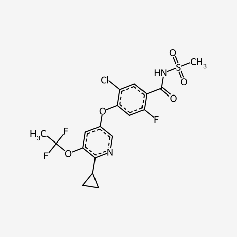 CC(F)(F)Oc1cc(Oc2cc(F)c(C(=O)NS(C)(=O)=O)cc2Cl)cnc1C1CC1